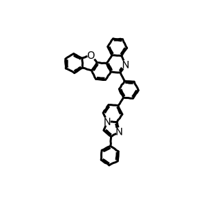 c1ccc(-c2cn3ccc(-c4cccc(-c5nc6ccccc6c6c5ccc5c7ccccc7oc56)c4)cc3n2)cc1